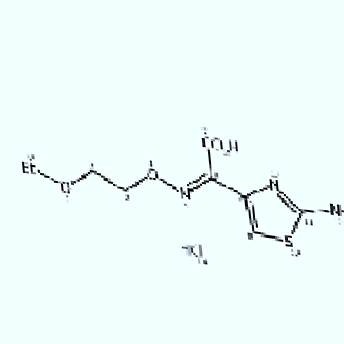 CCOCCON=C(C(=O)O)c1csc(N)n1.Cl